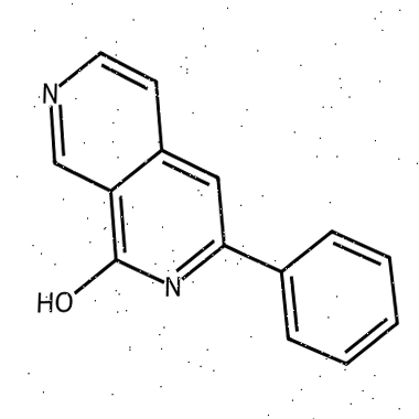 Oc1nc(-c2ccccc2)cc2ccncc12